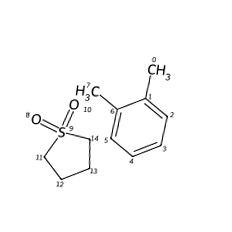 Cc1ccccc1C.O=S1(=O)CCCC1